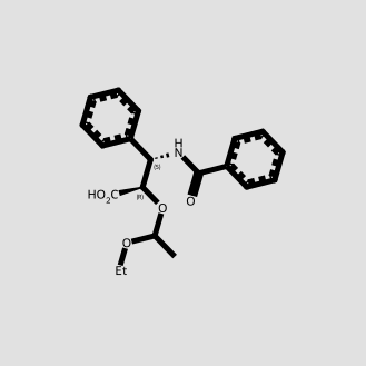 CCOC(C)O[C@@H](C(=O)O)[C@@H](NC(=O)c1ccccc1)c1ccccc1